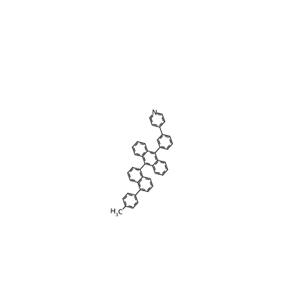 Cc1ccc(-c2cccc3c(-c4c5ccccc5c(-c5cccc(-c6ccncc6)c5)c5ccccc45)cccc23)cc1